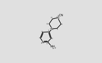 N#CN1CCN(c2ccnc(N)c2)CC1